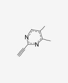 C#Cc1ncc(C)c(C)n1